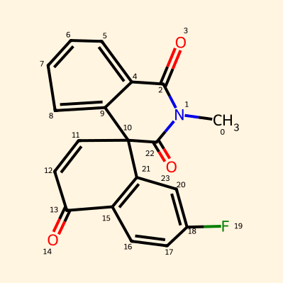 CN1C(=O)c2ccccc2C2(C=CC(=O)c3ccc(F)cc32)C1=O